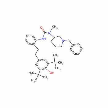 CN(C(=O)Nc1ccccc1CCc1cc(C(C)(C)C)c(O)c(C(C)(C)C)c1)C1CCCN(Cc2ccccc2)C1